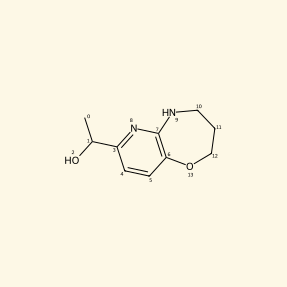 CC(O)c1ccc2c(n1)NCCCO2